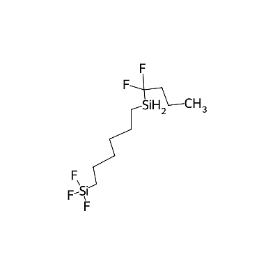 CCCC(F)(F)[SiH2]CCCCCC[Si](F)(F)F